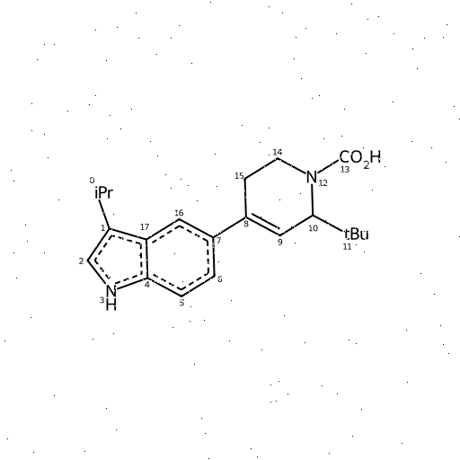 CC(C)c1c[nH]c2ccc(C3=CC(C(C)(C)C)N(C(=O)O)CC3)cc12